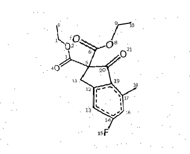 CCOC(=O)C1(C(=O)OCC)Cc2cc(F)cc(C)c2C1=O